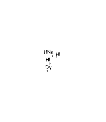 I.I.[Dy].[NaH]